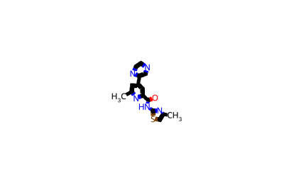 Cc1cc(-c2cnccn2)cc(C(=O)Nc2nc(C)cs2)n1